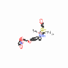 CC(C)(CC(=O)N/N=C1\CCCc2cc(OCCCC(=O)ON3C(=O)CCC3=O)ccc21)SSCCC=O